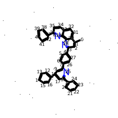 Cc1cc(-c2ccc(-c3cc(-c4ccccc4)cc(-c4ccccc4)n3)cc2)nc2c1ccc1ccc(-c3ccccc3)nc12